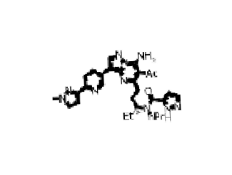 CCCN(C(=O)c1ccn[nH]1)[C@H](CC)CCc1nc2c(-c3ccc(-c4ccn(C)n4)nc3)cnn2c(N)c1C(C)=O